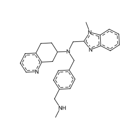 CNCc1ccc(CN(Cc2nc3ccccc3n2C)C2CCc3cccnc3C2)cc1